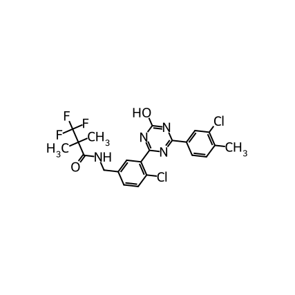 Cc1ccc(-c2nc(O)nc(-c3cc(CNC(=O)C(C)(C)C(F)(F)F)ccc3Cl)n2)cc1Cl